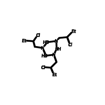 CCC(Cl)CN1BN(CC(Cl)CC)BN(CC(Cl)CC)B1